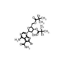 CCC(C)(C)C(=O)OC[C@@H]1O[C@H](n2cnc(N)c3c(C(N)=O)c(Br)nc2-3)[C@@H](O)[C@@H]1OC(=O)C(C)(C)CC